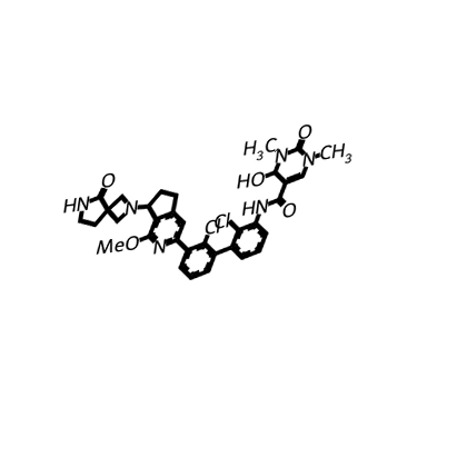 COc1nc(-c2cccc(-c3cccc(NC(=O)C4=CN(C)C(=O)N(C)C4O)c3Cl)c2Cl)cc2c1C(N1CC3(CCNC3=O)C1)CC2